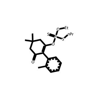 CCCSP(=S)(OCC)OC1=C(c2ccccc2C)C(=O)CC(C)(C)C1